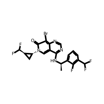 C[C@@H](Nc1ncnc2c(Br)c(=O)n([C@@H]3C[C@H]3C(F)F)cc12)c1cccc(C(F)F)c1F